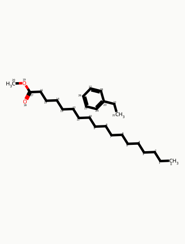 CCCCCCCCCCCCCCCCCC(=O)OC.CCc1ccccc1